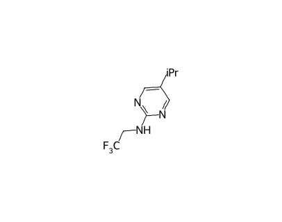 CC(C)c1cnc(NCC(F)(F)F)nc1